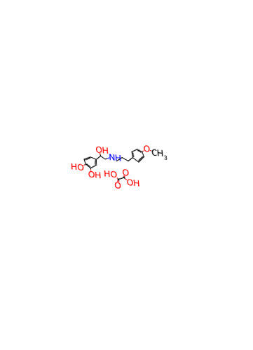 COc1ccc(CCCNCC(O)c2ccc(O)c(O)c2)cc1.O=C(O)C(=O)O